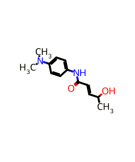 CC(O)/C=C/C(=O)Nc1ccc(N(C)C)cc1